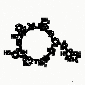 C=C(O)C(=C)NC(=O)C(=C)NC(=O)c1csc(-c2ccc3c(n2)-c2csc(n2)-c2csc(n2)C(N)C(C)C(CO)OC(=O)C(Cc2ccc(O)cc2)NC(=O)c2csc(n2)C(C(O)c2ccccc2)NC(=O)c2nc(sc2C)C(CC(N)=O)NC(=O)c2csc-3n2)n1